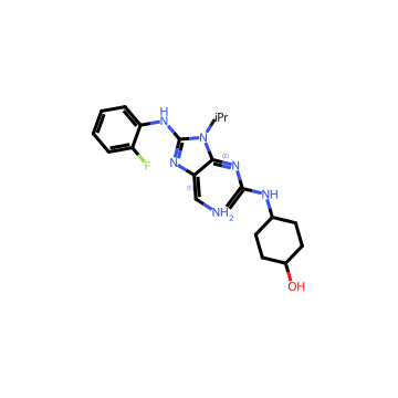 C=C(/N=C1\C(=C/N)N=C(Nc2ccccc2F)N1C(C)C)NC1CCC(O)CC1